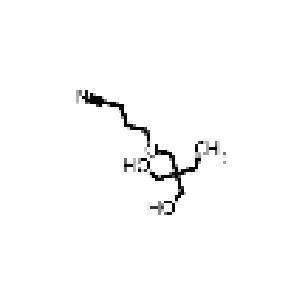 CCC(CO)(CO)COCCCC#N